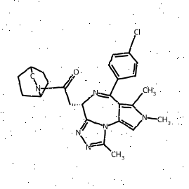 Cc1c2c(cn1C)-n1c(C)nnc1[C@H](CC(=O)N1CC3CCC1CC3)N=C2c1ccc(Cl)cc1